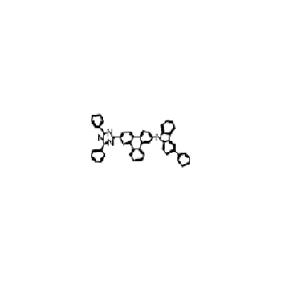 c1ccc(-c2ccc3c(c2)c2ccccc2n3-c2ccc3c4ccc(-c5nc(-c6ccccc6)nc(-c6ccccc6)n5)cc4c4ccccc4c3c2)cc1